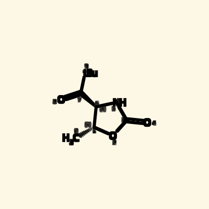 C[C@H]1OC(=O)N[C@@H]1C(=O)C(C)(C)C